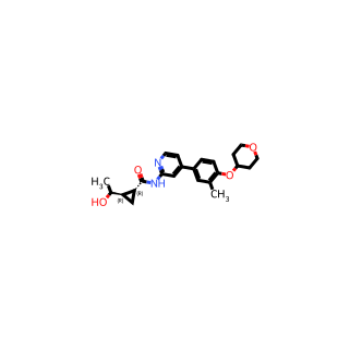 Cc1cc(-c2ccnc(NC(=O)[C@@H]3C[C@H]3C(C)O)c2)ccc1OC1CCOCC1